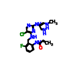 C=CC(=O)Nc1cccc(F)c1CNc1nc(N/C(C=N)=C/NC)ncc1Cl